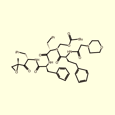 CC(C)C[C@H](NC(=O)[C@H](Cc1ccccc1)NC(=O)[C@H](CC(C)C)N(COC(=O)C(C)(C)C)C(=O)[C@H](CCc1ccccc1)NC(=O)CN1CCOCC1)C(=O)[C@@]1(C)CO1